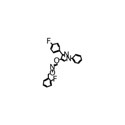 Fc1ccc(-c2nn(-c3ccccc3)cc2O/C=N/OCc2ccccc2F)cc1